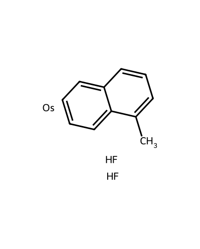 Cc1cccc2ccccc12.F.F.[Os]